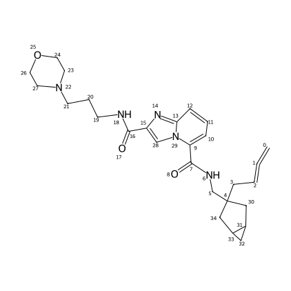 C=C=CCC1(CNC(=O)c2cccc3nc(C(=O)NCCCN4CCOCC4)cn23)CC2CC2C1